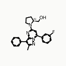 Cc1nn2c(-c3cccc(F)c3)cc(N3CCC[C@H]3CO)nc2c1-c1ccccc1